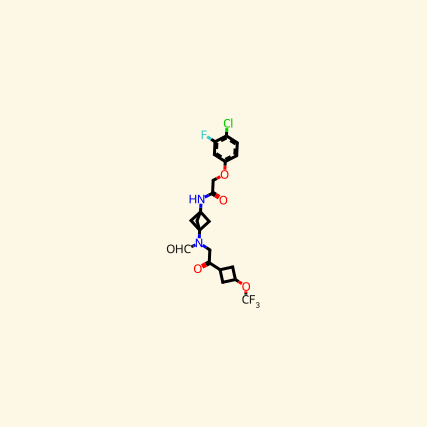 O=CN(CC(=O)C1CC(OC(F)(F)F)C1)C12CC(NC(=O)COc3ccc(Cl)c(F)c3)(C1)C2